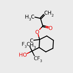 C=C(C)C(=O)OC1(C)CCCCC1C(O)(C(F)(F)F)C(F)(F)F